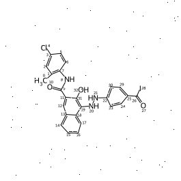 Cc1cc(Cl)ccc1NC(=O)c1cc2ccccc2c(NNc2ccc(C(=O)I)cc2)c1O